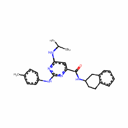 CCCC(Nc1cc(C(=O)NC2CCc3ccccc3C2)nc(Nc2ccc(C)cc2)n1)C(C)(C)C